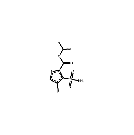 CC(C)OC(=O)c1scc(F)c1S(N)(=O)=O